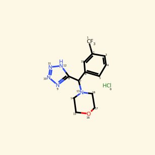 Cl.FC(F)(F)c1cccc(C(c2nnn[nH]2)N2CCOCC2)c1